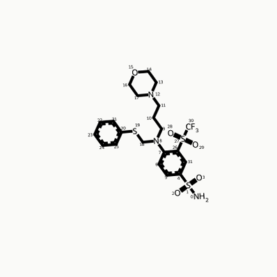 NS(=O)(=O)c1ccc(N(CCCN2CCOCC2)CSc2ccccc2)c(S(=O)(=O)C(F)(F)F)c1